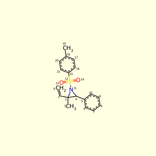 C=CC1(C)C(c2ccccc2)N1S(=O)(=O)c1ccc(C)cc1